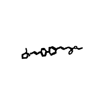 CCOC(=O)CCCc1ccc(-c2ccc(CCN3CCC[C@H]3C)cc2)cc1